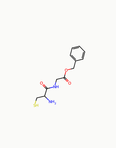 NC(CS)C(=O)NCC(=O)OCc1ccccc1